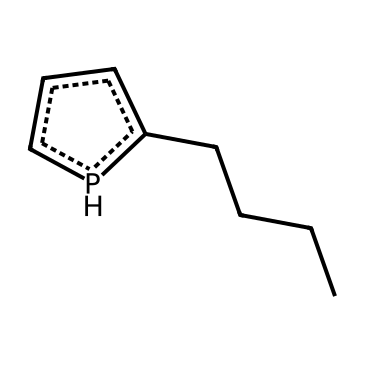 CCCCc1ccc[pH]1